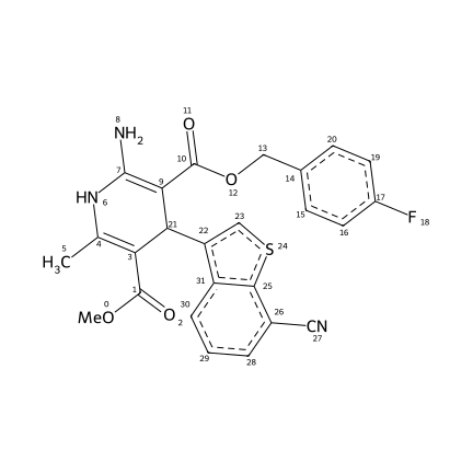 COC(=O)C1=C(C)NC(N)=C(C(=O)OCc2ccc(F)cc2)C1c1csc2c(C#N)cccc12